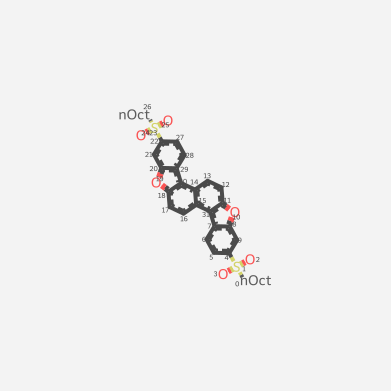 CCCCCCCCS(=O)(=O)c1ccc2c(c1)oc1ccc3c(ccc4oc5cc(S(=O)(=O)CCCCCCCC)ccc5c43)c12